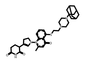 Cc1cc(=O)c2c(SCCN3CCN(C45CC6CC(CC(C6)C4)C5)CC3)cccc2n1N1C=C(C2CCC(=O)NC2=O)CC1